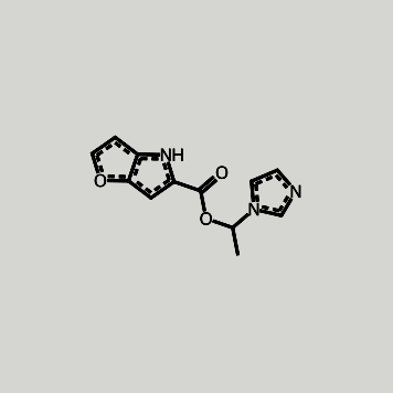 CC(OC(=O)c1cc2occc2[nH]1)n1ccnc1